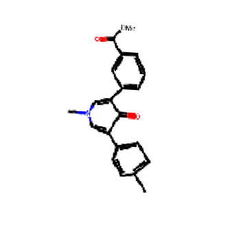 COC(=O)c1cccc(-c2cn(C)cc(-c3ccc(C)cc3)c2=O)c1